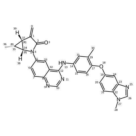 C=C1C(=O)N(c2ccc3ncnc(Nc4ccc(Oc5ccc6c(c5)ncn6C)c(C)c4)c3c2)[C@@H]2[C@H](C)[C@H]12